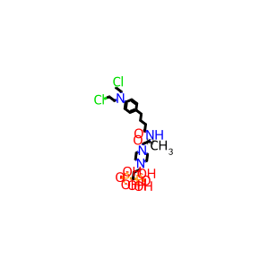 C[C@H](NC(=O)CCCc1ccc(N(CCCl)CCCl)cc1)C(=O)N1CCN(CCC(O)(P(=O)(O)O)P(=O)(O)O)CC1